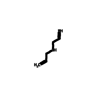 B=CCBCC=C